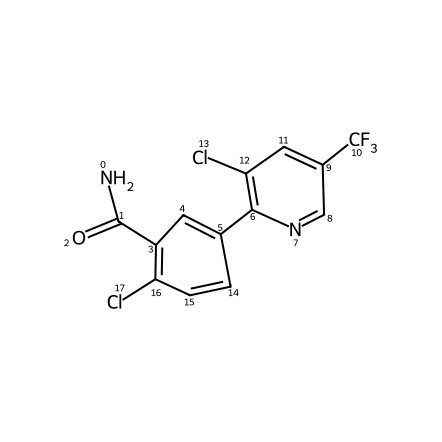 NC(=O)c1cc(-c2ncc(C(F)(F)F)cc2Cl)ccc1Cl